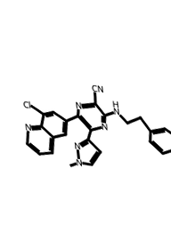 Cn1ccc(-c2nc(NCCc3ccncc3)c(C#N)nc2-c2cc(Cl)c3ncccc3c2)n1